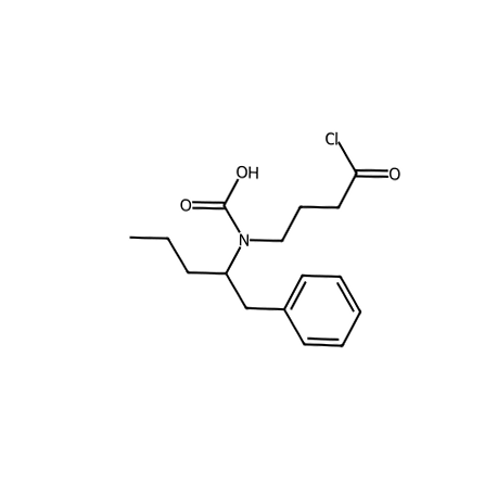 CCCC(Cc1ccccc1)N(CCCC(=O)Cl)C(=O)O